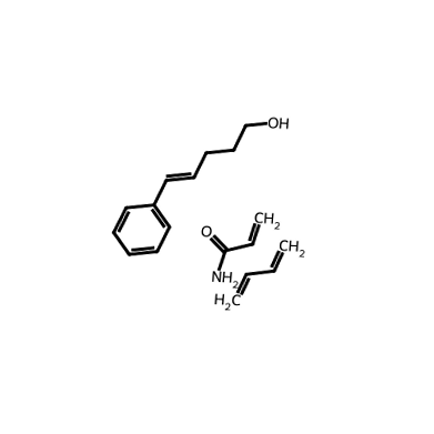 C=CC(N)=O.C=CC=C.OCCCC=Cc1ccccc1